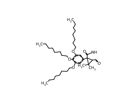 CCCCCCCCOc1cc(C2(C([NH])=O)C([C]=O)C2(C)C)cc(OCCCCCCCC)c1OCCCCCCCC